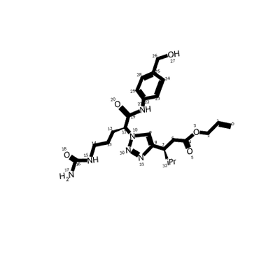 C=CCOC(=O)C[C@H](c1cn([C@@H](CCCNC(N)=O)C(=O)Nc2ccc(CO)cc2)nn1)C(C)C